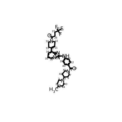 CN1CCN(C2CCN(C(=O)c3ccc(Nc4nc5c(C6=CCN(C(=O)CCC(F)(F)F)CC6)cccn5n4)cc3)CC2)CC1